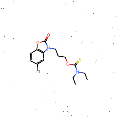 CCN(CC)C(=S)OCCCn1c(=O)oc2ccc(Cl)cc21